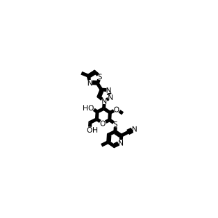 COC1C(Sc2cc(C)cnc2C#N)OC(CO)C(O)C1n1cc(-c2nc(C)cs2)nn1